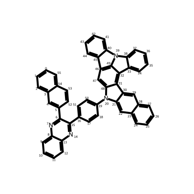 c1ccc2cc(-c3nc4ccccc4nc3-c3ccc(-n4c5cc6ccccc6cc5c5c6c7ccccc7n7c8ccccc8c(cc54)c67)cc3)ccc2c1